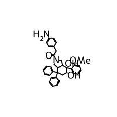 COc1ccccc1C1(O)C(O)CC(c2ccccc2)(c2ccccc2)C2CN(C(=O)Cc3ccc(N)cc3)CC21